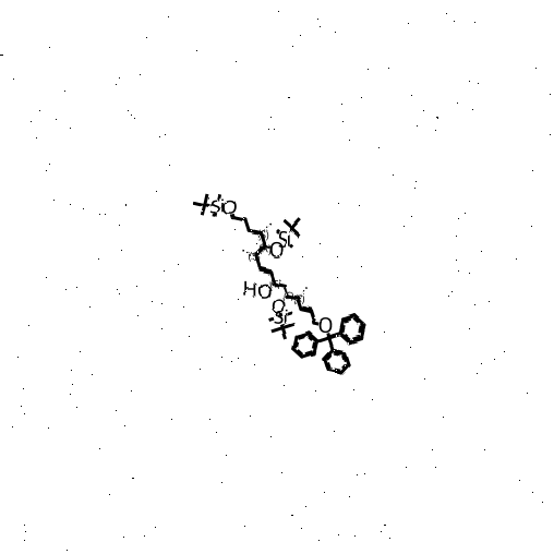 C[C@H](C=CCOC(c1ccccc1)(c1ccccc1)c1ccccc1)[C@H](C[C@H](O)C=C[C@H](C)[C@H](O[Si](C)(C)C(C)(C)C)[C@@H](C)CCCO[Si](C)(C)C(C)(C)C)O[Si](C)(C)C(C)(C)C